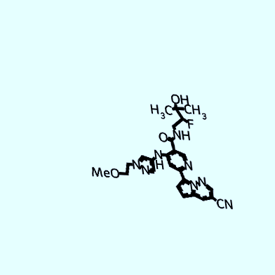 COCCn1cc(Nc2cc(-c3ccc4cc(C#N)cnn34)ncc2C(=O)NCC(F)C(C)(C)O)cn1